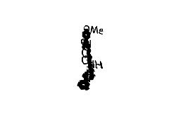 COc1ccc(-c2nc(CC(=O)CC(=O)NCCN3CCN(c4cccc(C)c4)CC3)c(C)o2)cc1